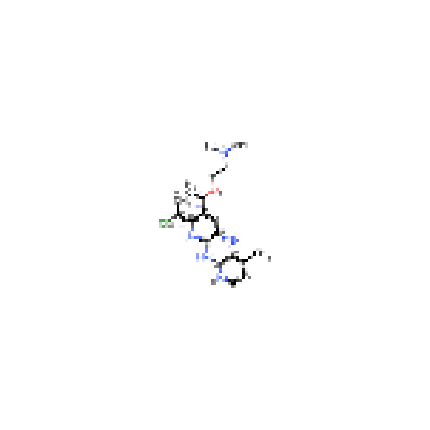 CCCN(CC)CCO/C(C)=c1\cc2c(n\c1=C(\C)Cl)Nc1nccc(C)c1N2